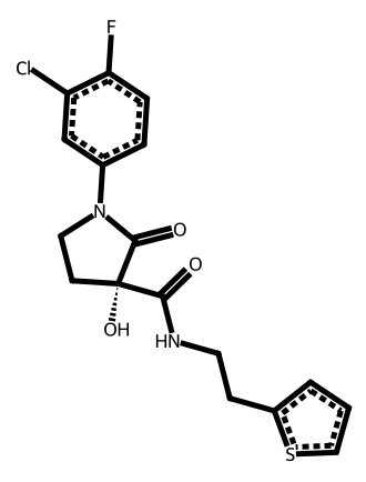 O=C(NCCc1cccs1)[C@@]1(O)CCN(c2ccc(F)c(Cl)c2)C1=O